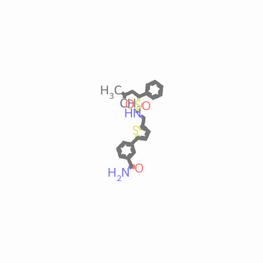 CC(C)CC(c1ccccc1)S(=O)(=O)NCc1ccc(-c2cccc(C(N)=O)c2)s1